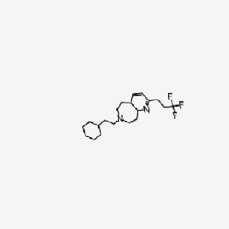 FC(F)(F)CCC1=NC2CCN(CCC3CCCCC3)CCC2C=C1